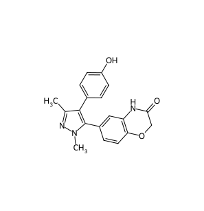 Cc1nn(C)c(-c2ccc3c(c2)NC(=O)CO3)c1-c1ccc(O)cc1